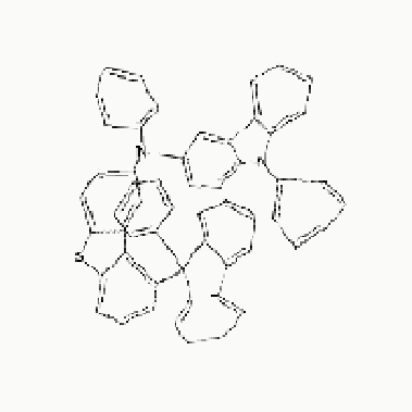 C1=C2C(=CCC1)C(c1ccccc1)(c1cccc3sc4ccc(N(c5ccccc5)c5ccc6c(c5)c5ccccc5n6-c5ccccc5)cc4c13)c1ccccc12